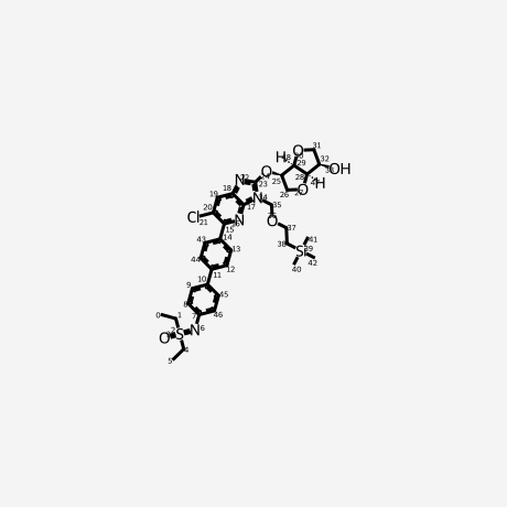 CCS(=O)(CC)=Nc1ccc(-c2ccc(-c3nc4c(cc3Cl)nc(O[C@@H]3CO[C@H]5[C@@H]3OC[C@H]5O)n4COCC[Si](C)(C)C)cc2)cc1